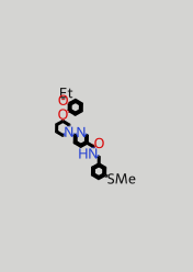 CCOc1ccccc1OC1CCCN(c2ccc(C(=O)NCc3cccc(SC)c3)cn2)C1